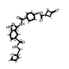 O=C1CC(C(=O)Nc2ccc(C(=O)Nc3n[nH]c4ccc(C(=O)NCc5cccs5)cc34)cc2)C1